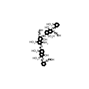 Nc1c(N=Nc2ccc3c(O)c(N=Nc4ccccc4SOOO)c(S(=O)(=O)O)cc3c2S(=O)(=O)O)cc(S(=O)(=O)O)c2cc(SOOO)c(N=Nc3ccc4c(O)c(N=Nc5ccccc5S(=O)(=O)O)c(SOOO)cc4c3S(=O)(=O)O)c(O)c12